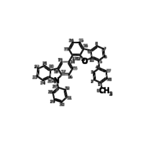 Cc1ccc(-c2cccc3c2oc2c(-c4ccc5c(c4)c4ccccc4n5-c4ccccc4)cccc23)cc1